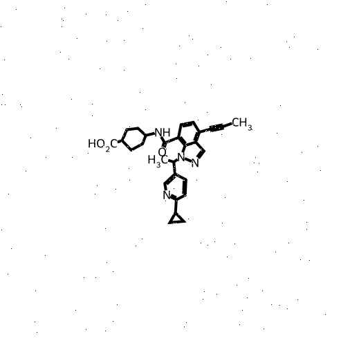 CC#Cc1ccc(C(=O)NC2CCC(C(=O)O)CC2)c2c1cnn2C(C)c1ccc(C2CC2)nc1